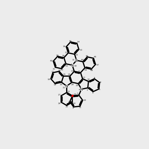 c1ccc(-n2c3ccccc3c3c4c(c5c6ccccc6n(-c6ccccc6)c5c32)N2B(c3ccccc3-c3ccccc32)c2ccccc2-4)cc1